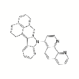 C1=Cc2cccc3cc4c(c(c23)C1)c1ccccc1n4-c1ccnc2c1ccc1cccnc12